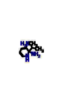 CC(C)C1(N)NC=CC=C1N